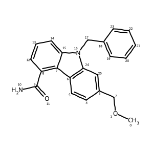 COCc1c[c]c2c3c(C(N)=O)cccc3n(Cc3ccccc3)c2c1